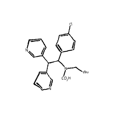 CC(C)(C)CN(C(=O)O)C(c1ccc(Cl)cc1)C(c1cccnc1)c1cccnc1